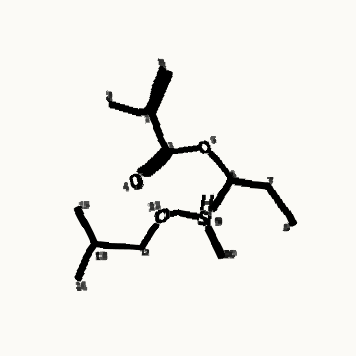 C=C(C)C(=O)OC(CC)[SiH](C)OCC(C)C